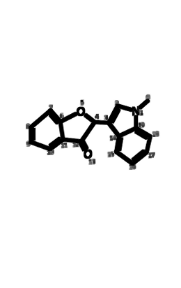 Cn1cc(C2Oc3ccccc3C2=O)c2ccccc21